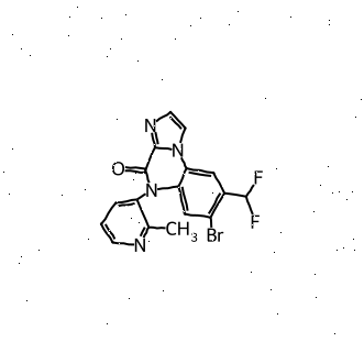 Cc1ncccc1-n1c(=O)c2nccn2c2cc(C(F)F)c(Br)cc21